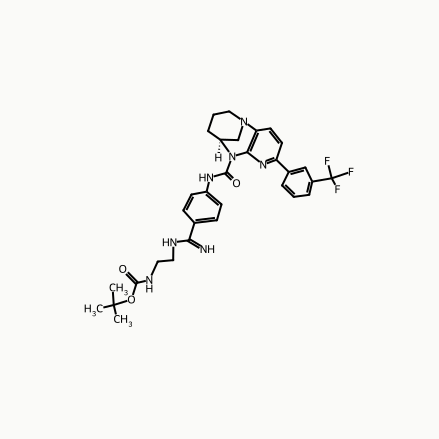 CC(C)(C)OC(=O)NCCNC(=N)c1ccc(NC(=O)N2c3nc(-c4cccc(C(F)(F)F)c4)ccc3N3CCC[C@H]2C3)cc1